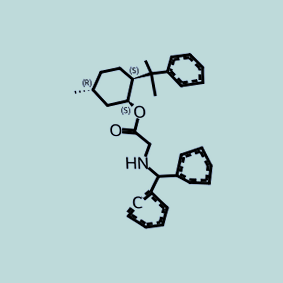 C[C@@H]1CC[C@@H](C(C)(C)c2ccccc2)[C@@H](OC(=O)CNC(c2ccccc2)c2ccccc2)C1